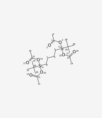 CC(=O)O[Si](CCCC[Si](OC(C)=O)(OC(C)=O)C(C)(C)C)(OC(C)=O)C(C)(C)C